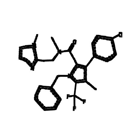 Cc1c(-c2ccc(Cl)cc2)c(C(=O)N(C)Cc2nccn2C)n(Cc2ccccc2)c1C(F)(F)F